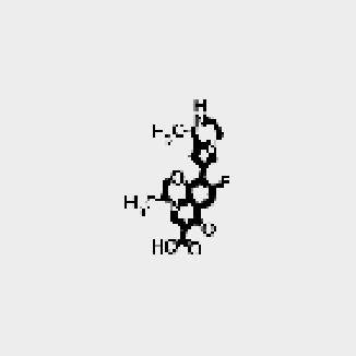 C[C@@H]1NCCn2cc(-c3c(F)cc4c(=O)c(C(=O)O)cn5c4c3OC[C@@H]5C)cc21